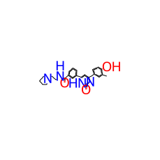 Cc1cc(-c2cc(-c3cccc(C(=O)NCCN4CCCC4)c3)[nH]c(=O)n2)ccc1O